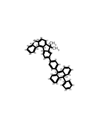 CC1(C)c2cc(-c3ccc(-c4c5ccccc5c(-c5ccccc5)c5ccccc45)cc3)ccc2-c2c1ccc1sc3ccccc3c21